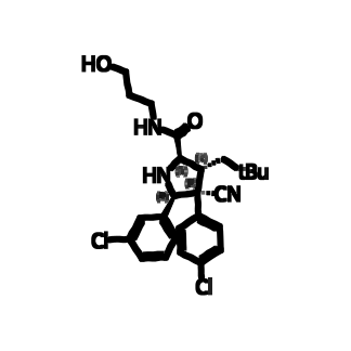 CC(C)(C)C[C@H]1[C@H](C(=O)NCCCO)N[C@H](c2cccc(Cl)c2)[C@]1(C#N)c1ccc(Cl)cc1